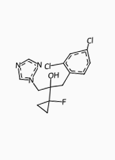 OC(Cc1ccc(Cl)cc1Cl)(Cn1cncn1)C1(F)CC1